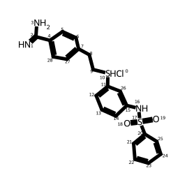 Cl.N=C(N)c1ccc(CCSc2cccc(NS(=O)(=O)c3ccccc3)c2)cc1